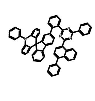 c1ccc(-c2nc(-c3ccccc3-c3ccc4c(c3)C3(c5ccccc5-4)c4ccccc4N(c4ccccc4)c4ccccc43)nc(-c3ccc(-c4ccccc4)c4ccccc34)n2)cc1